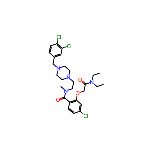 CCN(CC)C(=O)COc1cc(Cl)ccc1C(=O)N(C)CCN1CCN(Cc2ccc(Cl)c(Cl)c2)CC1